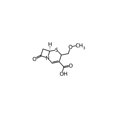 COCC1S[C@@H]2CC(=O)N2C=C1C(=O)O